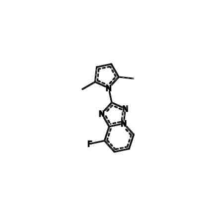 Cc1ccc(C)n1-c1nc2c(F)cccn2n1